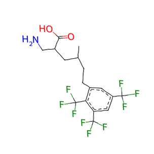 CC(CCc1cc(C(F)(F)F)cc(C(F)(F)F)c1C(F)(F)F)CC(CN)C(=O)O